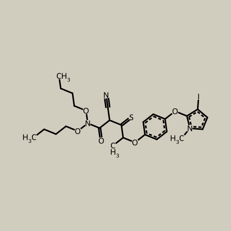 CCCCON(OCCCC)C(=O)C(C#N)C(=S)C(C)Oc1ccc(Oc2c(I)ccn2C)cc1